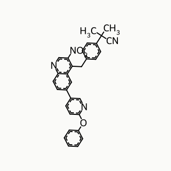 CC(C)(C#N)c1ccc(Cc2c([N+](=O)[O-])cnc3ccc(-c4ccc(Oc5ccccc5)nc4)cc23)cc1